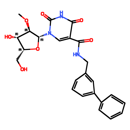 CO[C@@H]1[C@@H](O)[C@@H](CO)O[C@H]1n1cc(C(=O)NCc2cccc(-c3ccccc3)c2)c(=O)[nH]c1=O